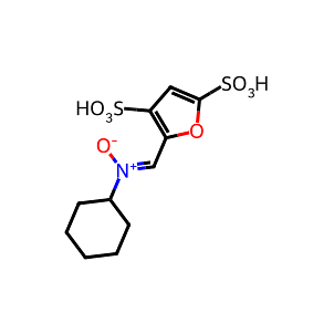 O=S(=O)(O)c1cc(S(=O)(=O)O)c(C=[N+]([O-])C2CCCCC2)o1